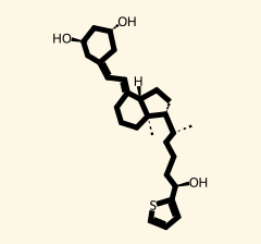 C[C@H](CCC[C@@H](O)c1cccs1)[C@H]1CC[C@H]2/C(=C/C=C3C[C@@H](O)C[C@H](O)C3)CCC[C@]12C